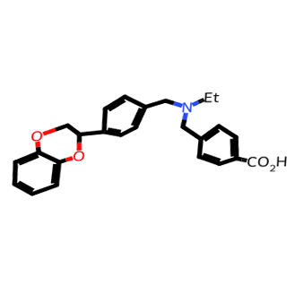 CCN(Cc1ccc(C(=O)O)cc1)Cc1ccc(C2COc3ccccc3O2)cc1